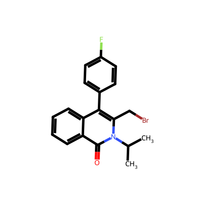 CC(C)n1c(CBr)c(-c2ccc(F)cc2)c2ccccc2c1=O